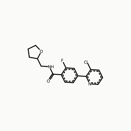 O=C(NCC1CCCO1)c1ccc(-c2ncccc2Cl)cc1F